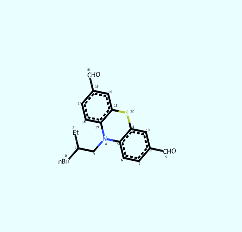 CCCCC(CC)CN1c2ccc(C=O)cc2Sc2cc(C=O)ccc21